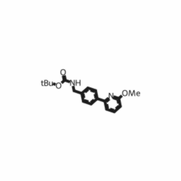 COc1cccc(-c2ccc(CNC(=O)OC(C)(C)C)cc2)n1